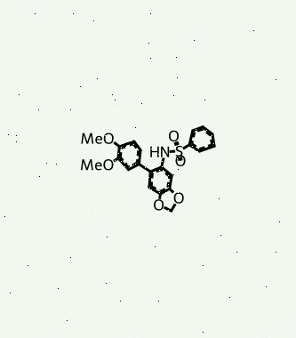 COc1ccc(-c2cc3c(cc2NS(=O)(=O)c2ccccc2)OCO3)cc1OC